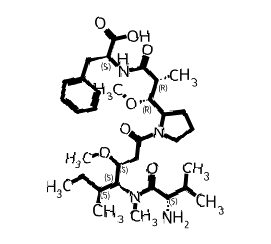 CC[C@H](C)[C@@H]([C@H](CC(=O)N1CCCC1[C@H](OC)[C@@H](C)C(=O)N[C@@H](Cc1ccccc1)C(=O)O)OC)N(C)C(=O)[C@@H](N)C(C)C